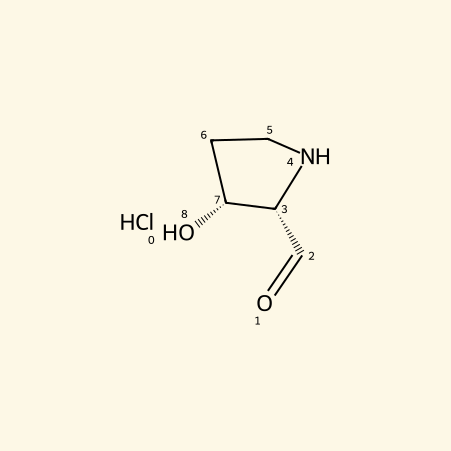 Cl.O=C[C@H]1NCC[C@H]1O